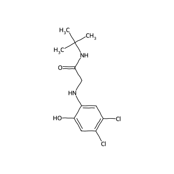 CC(C)(C)NC(=O)CNc1cc(Cl)c(Cl)cc1O